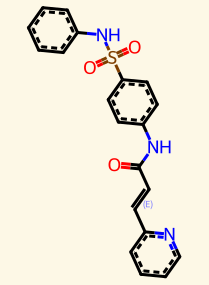 O=C(/C=C/c1ccccn1)Nc1ccc(S(=O)(=O)Nc2ccccc2)cc1